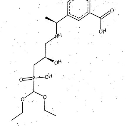 CCOC(OCC)P(=O)(O)C[C@H](O)CN[C@@H](C)c1cccc(C(=O)O)c1